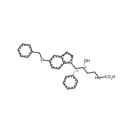 O=C(O)NCC[C@@H](O)[C@H](c1ccccc1)n1ccc2cc(OCc3ccccc3)ccc21